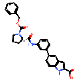 O=C(O)c1cc2cc(-c3cccc(NC(=O)[C@@H]4CCCN4C(=O)OCc4ccccc4)c3)ccc2[nH]1